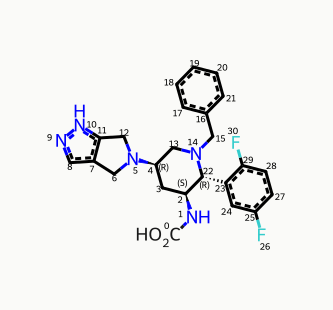 O=C(O)N[C@H]1C[C@@H](N2Cc3cn[nH]c3C2)CN(Cc2ccccc2)[C@@H]1c1cc(F)ccc1F